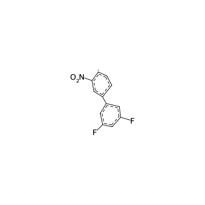 O=[N+]([O-])c1[c]ccc(-c2cc(F)cc(F)c2)c1